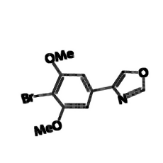 COc1cc(-c2cocn2)cc(OC)c1Br